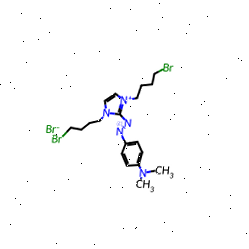 CN(C)c1ccc(/N=N/c2n(CCCCBr)cc[n+]2CCCCBr)cc1.[Br-]